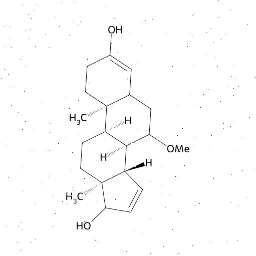 COC1CC2C=C(O)CC[C@]2(C)[C@@H]2CC[C@]3(C)C(O)C=C[C@H]3[C@H]12